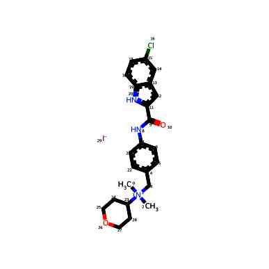 C[N+](C)(Cc1ccc(NC(=O)c2cc3cc(Cl)ccc3[nH]2)cc1)C1CCOCC1.[I-]